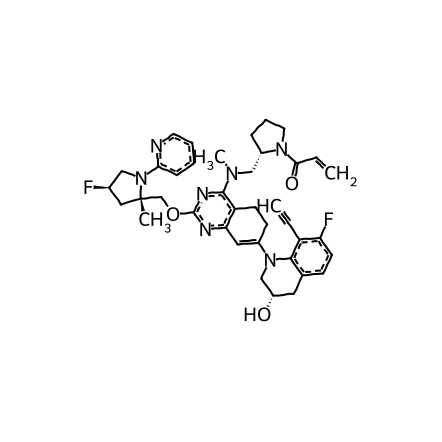 C#Cc1c(F)ccc2c1N(C1=Cc3nc(OC[C@]4(C)C[C@@H](F)CN4c4ccccn4)nc(N(C)C[C@@H]4CCCN4C(=O)C=C)c3CC1)C[C@@H](O)C2